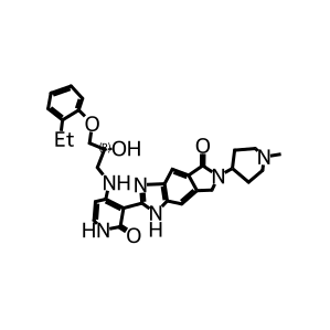 CCc1ccccc1OC[C@H](O)CNc1cc[nH]c(=O)c1-c1nc2cc3c(cc2[nH]1)CN(C1CCN(C)CC1)C3=O